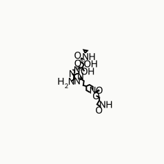 Nc1nc(CCC2CCN(C(=O)OCC3CC(=O)N3)CC2)nc2c1ncn2[C@@H]1O[C@H](C(=O)NC2CC2)C(O)C1O